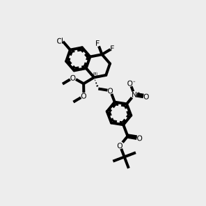 COC(OC)[C@]1(COc2ccc(C(=O)OC(C)(C)C)cc2[N+](=O)[O-])CCC(F)(F)c2cc(Cl)ccc21